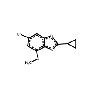 COc1cc(Br)cc2oc(C3CC3)nc12